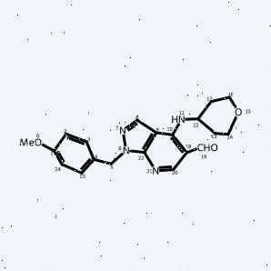 COc1ccc(Cn2ncc3c(NC4CCOCC4)c(C=O)cnc32)cc1